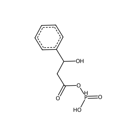 O=C(CC(O)c1ccccc1)O[PH](=O)O